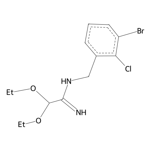 CCOC(OCC)C(=N)NCc1cccc(Br)c1Cl